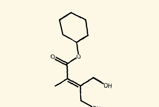 CC(C(=O)OC1CCCCC1)=C(CO)CO